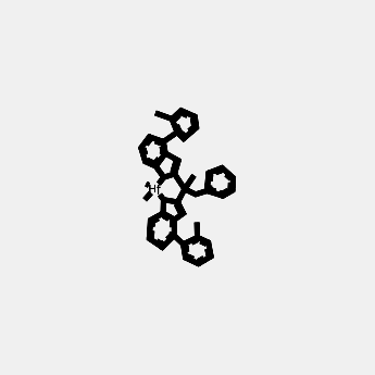 Cc1ccccc1-c1cccc2c1C=C1[CH]2[Hf]([CH3])([CH3])[CH]2C(=Cc3c(-c4ccccc4C)cccc32)C1(C)Cc1ccccc1